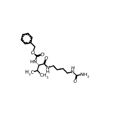 CC(C)[C@H](NC(=O)OCc1ccccc1)C(=O)NCCCCNC(N)=O